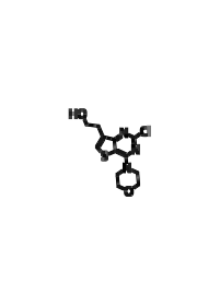 OCCc1csc2c(N3CCOCC3)nc(Cl)nc12